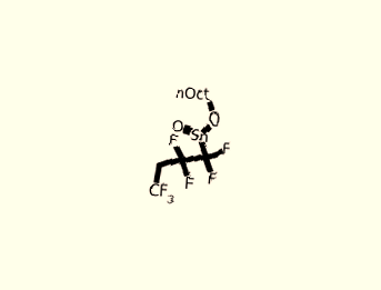 CCCCCCCC[O][Sn](=[O])[C](F)(F)C(F)(F)CC(F)(F)F